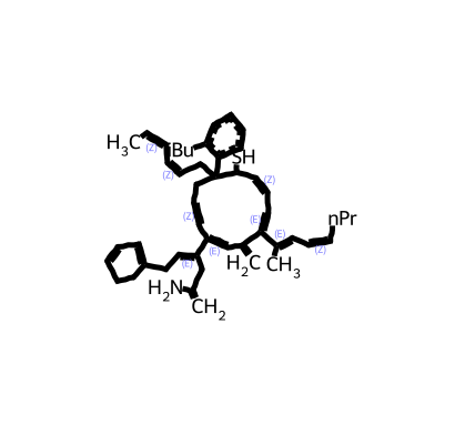 C=C(N)CC(=C\CC1=CC=CCC1)/C1=C/C(=C)C(/C(C)=C/C=C\CCC)=C\C=C/C(S)C(C/C=C\C=C/C)(c2ccccc2C(C)CC)C/C=C\1